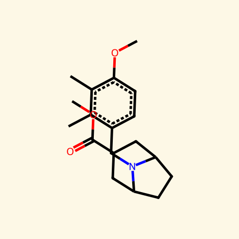 COC(=O)C1CC2CCC(C1)N2Cc1ccc(OC)c(C)c1C